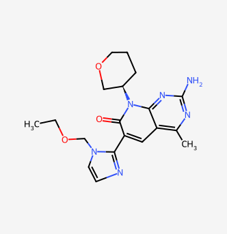 CCOCn1ccnc1-c1cc2c(C)nc(N)nc2n([C@@H]2CCCOC2)c1=O